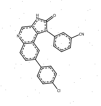 N#Cc1cccc(-n2c(=O)[nH]c3cnc4ccc(-c5ccc(Cl)cc5)cc4c32)c1